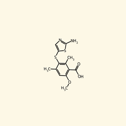 COc1cc(C)c(Sc2cnc(N)s2)c(C)c1C(=O)O